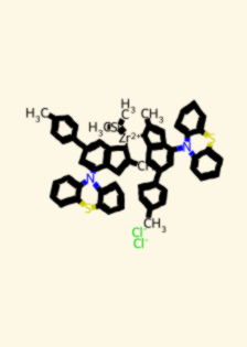 CC1=Cc2c(cc(-c3ccc(C)cc3)cc2N2c3ccccc3Sc3ccccc32)[C@@H]1[Zr+2]([C@H]1C(C)=Cc2c1cc(-c1ccc(C)cc1)cc2N1c2ccccc2Sc2ccccc21)=[Si](C)C.[Cl-].[Cl-]